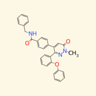 Cn1nc(-c2ccccc2Oc2ccccc2)c(-c2ccc(C(=O)NCc3ccccc3)cc2)cc1=O